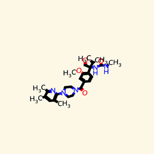 CNC(=O)NC(C=O)(c1ccc(C(=O)N2CCN(c3nc(C)c(C)cc3C)CC2)cc1OC)C(C)C